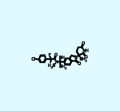 BN(C(=O)C(F)(F)c1ccc(Cl)cc1)C(B)(B)c1ccc2c(c1)CN(C1(B)CCC(=O)NC1=O)C2=O